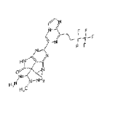 CN(N)/C(=N\N)C12C(=O)Nc3nc(-c4cn5ccnc5c(CCC(F)(F)C(F)(F)F)n4)nc(c31)N1CC12